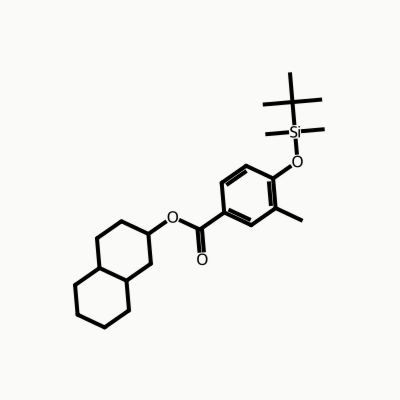 Cc1cc(C(=O)OC2CCC3CCCCC3C2)ccc1O[Si](C)(C)C(C)(C)C